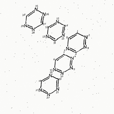 c1cnncn1.c1cnnnn1.c1ncncn1.c1ncnnn1.c1nncnn1